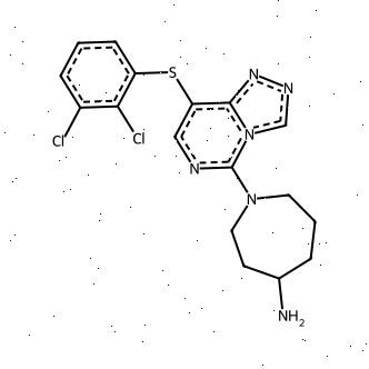 NC1CCCN(c2ncc(Sc3cccc(Cl)c3Cl)c3nncn23)CC1